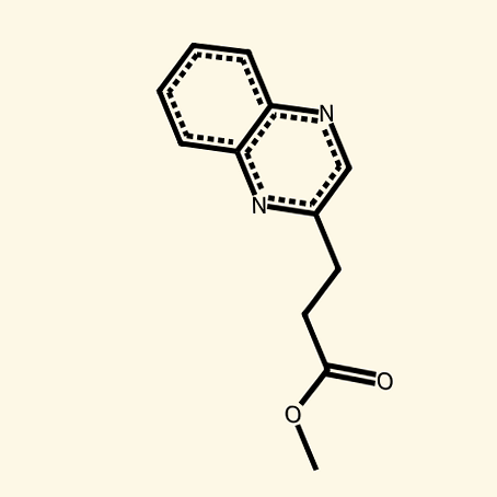 COC(=O)CCc1cnc2ccccc2n1